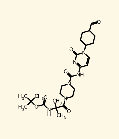 CC(C)(C)OC(=O)NC(C)(C)C(=O)N1CCN(C(=O)Nc2ccn(C3CCC(C=O)CC3)c(=O)n2)CC1